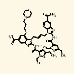 CCc1cc(C(=O)Nc2nc3cc(C(N)=O)cnc3n2CC=CCn2c(NC(=O)c3cc(CC)nn3CC)nc3cc(C(N)=O)cc(OCCCN4CCOCC4)c32)n(CC)n1